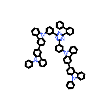 c1ccc(-c2ccccc2-c2nc(-c3cccc(-n4c5ccccc5c5cc(-c6ccc7c(c6)c6ccccc6n7-c6ccccc6)ccc54)c3)nc(-c3cccc(-n4c5ccccc5c5cc(-c6ccc7c(c6)c6ccccc6n7-c6ccccc6)ccc54)c3)n2)cc1